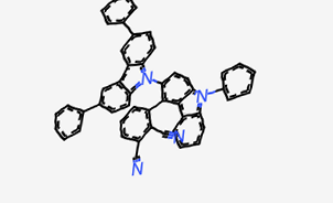 N#Cc1cccc(-c2c(-n3c4ccc(-c5ccccc5)cc4c4cc(-c5ccccc5)ccc43)ccc3c2c2ccccc2n3-c2ccccc2)c1C#N